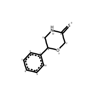 S=C1COC(c2ccccc2)CN1